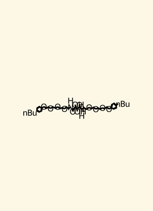 CCCCc1ccc(OCCOCCOCCOCCNC(=O)C(O)C(O)C(=O)NCCOCCOCCOCCOc2ccc(CCCC)cc2)cc1